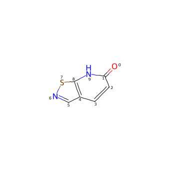 O=c1ccc2cnsc2[nH]1